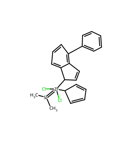 C[Si](C)=[Zr]([Cl])([Cl])([CH]1C=CC=C1)[CH]1C=Cc2c(-c3ccccc3)cccc21